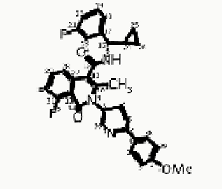 COc1ccc(-c2ccc(-n3c(C)c(C(=O)N[C@H](c4cccc(F)c4)C4CC4)c4cccc(F)c4c3=O)cn2)cc1